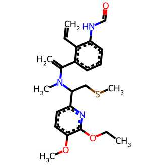 C=Cc1c(NC=O)cccc1C(=C)N(C)C(CSC)c1ccc(OC)c(OCC)n1